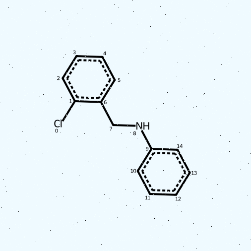 Clc1ccccc1CNc1ccccc1